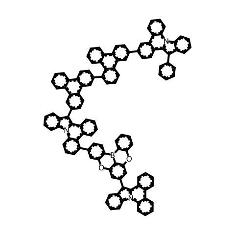 c1ccc(-c2c3ccccc3n3c4ccccc4c4cc(-c5ccc6c7ccccc7c7c(-c8ccc9c%10ccccc%10c%10cc(-c%11c%12ccccc%12n%12c%13cccc(-c%14ccc%15c(c%14)Oc%14cc(-c%16c%17ccccc%17n%17c%18ccccc%18c%18ccccc%18c%16%17)cc%16c%14B%15c%14ccccc%14O%16)c%13c%13ccccc%13c%11%12)ccc%10c9c8)cccc7c6c5)ccc4c23)cc1